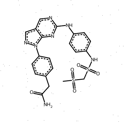 CS(=O)(=O)CS(=O)(=O)Nc1ccc(Nc2ncc3cnn(-c4ccc(CC(N)=O)cc4)c3n2)cc1